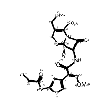 CON=C(C(=O)NC1C(=O)N2C(C(=O)O)=C(COC(C)=O)CS[C@@H]12)c1csc(NC(=O)CCl)n1